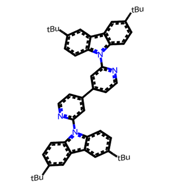 CC(C)(C)c1ccc2c(c1)c1cc(C(C)(C)C)ccc1n2-c1cc(-c2ccnc(-n3c4ccc(C(C)(C)C)cc4c4cc(C(C)(C)C)ccc43)c2)ccn1